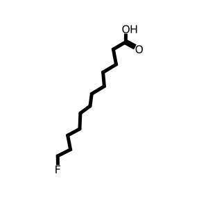 O=C(O)CCCCCCCCCCCF